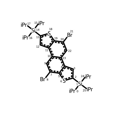 CC(C)[Si](c1cc2c(s1)c(Br)cc1c3cc([Si](C(C)C)(C(C)C)C(C)C)sc3c(Br)cc21)(C(C)C)C(C)C